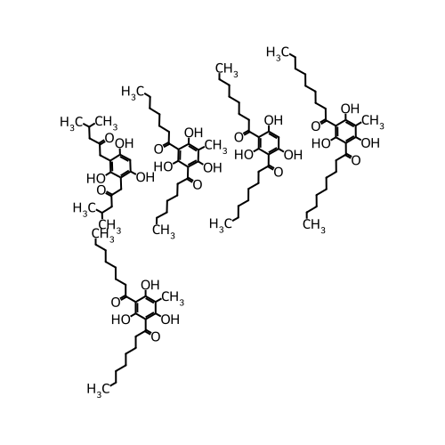 CC(C)CC(=O)Cc1c(O)cc(O)c(CC(=O)CC(C)C)c1O.CCCCCCC(=O)c1c(O)c(C)c(O)c(C(=O)CCCCCC)c1O.CCCCCCCC(=O)c1c(O)c(C)c(O)c(C(=O)CCCCCCC)c1O.CCCCCCCC(=O)c1c(O)cc(O)c(C(=O)CCCCCCC)c1O.CCCCCCCCC(=O)c1c(O)c(C)c(O)c(C(=O)CCCCCCCC)c1O